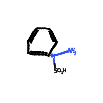 NNS(=O)(=O)O.c1ccccc1